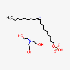 CCCCCCCC/C=C\CCCCCCCCOS(=O)(=O)O.OCCN(CCO)CCO